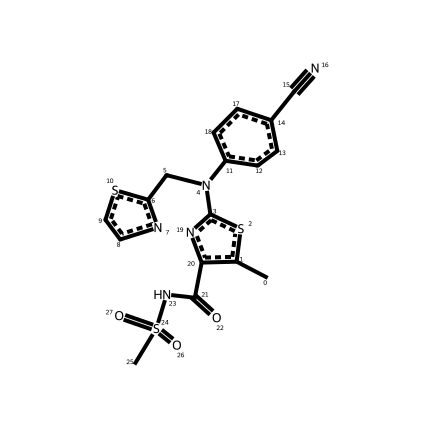 Cc1sc(N(Cc2nccs2)c2ccc(C#N)cc2)nc1C(=O)NS(C)(=O)=O